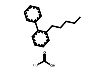 CCCCCc1ccccc1-c1ccccc1.O=C(O)O